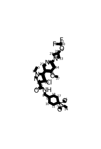 CCn1nc(C(=O)NCC2CCC(S(C)(=O)=O)CC2)c(Cl)c1-c1cnc(N2CC(OC(F)F)C2)cc1OC